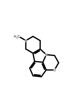 CN1CCc2c(c3cccc4c3n2CCO4)C1